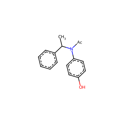 CC(=O)N(c1ccc(O)cc1)C(C)c1ccccc1